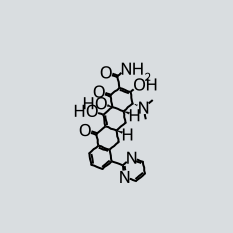 CN(C)[C@H]1C(O)=C(C(N)=O)C(=O)[C@@]2(O)C(O)=C3C(=O)c4cccc(-c5ncccn5)c4C[C@H]3C[C@@H]12